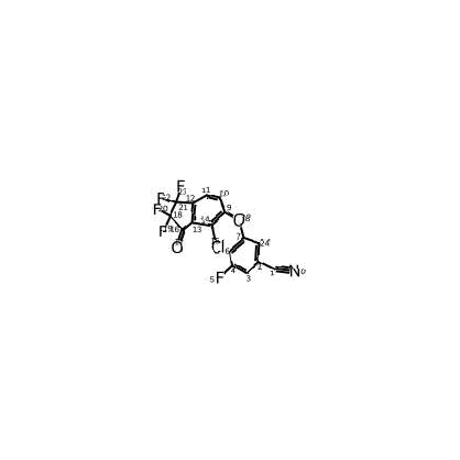 N#Cc1cc(F)cc(Oc2ccc3c(c2Cl)C(=O)C(F)(F)C3(F)F)c1